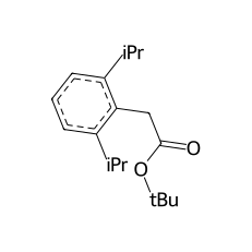 CC(C)c1cccc(C(C)C)c1CC(=O)OC(C)(C)C